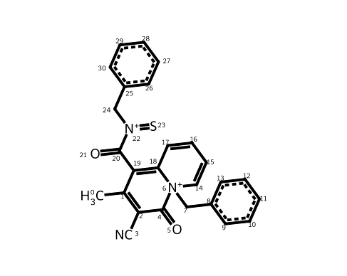 CC1=C(C#N)C(=O)[N+]2(Cc3ccccc3)C=CC=CC2=C1C(=O)[N+](=S)Cc1ccccc1